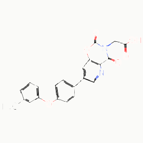 Cc1cccc(Oc2ccc(-c3cnc4c(=O)n(CC(=O)O)c(=O)oc4c3)cc2)c1